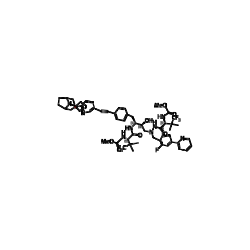 COC(=O)N[C@H](C(=O)N[C@@H](Cc1ccc(C#Cc2ccc(N3CC4CCC(C3)N4C3COC3)nc2)cc1)[C@@H](O)CN(Cc1c(F)cc(-c2ccccn2)cc1F)NC(=O)[C@@H](NC(=O)OC)C(C)(C)C(F)(F)F)C(C)(C)C(F)(F)F